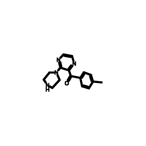 Cc1ccc(C(=O)c2nccnc2N2CCNCC2)cc1